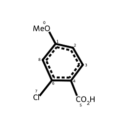 COc1ccc(C(=O)O)c(Cl)c1